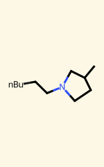 CCCCCCN1CCC(C)C1